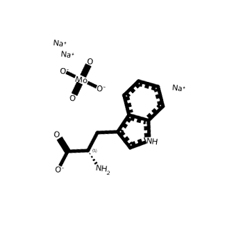 N[C@@H](Cc1c[nH]c2ccccc12)C(=O)[O-].[Na+].[Na+].[Na+].[O]=[Mo](=[O])([O-])[O-]